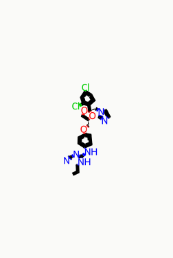 CCCNC(=NC#N)Nc1ccc(OC[C@@H]2CO[C@@](Cn3ccnc3)(c3ccc(Cl)cc3Cl)O2)cc1